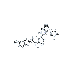 Cc1c(C(=N)/C=C(/Nc2cc(C)n(C)n2)C(N)=O)ccc(F)c1NC(=O)c1cc2cc(Br)ccc2s1